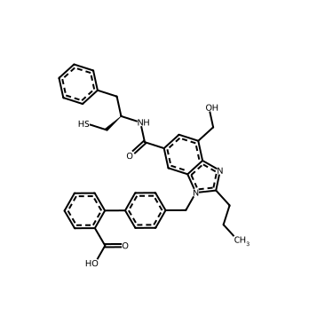 CCCc1nc2c(CO)cc(C(=O)N[C@@H](CS)Cc3ccccc3)cc2n1Cc1ccc(-c2ccccc2C(=O)O)cc1